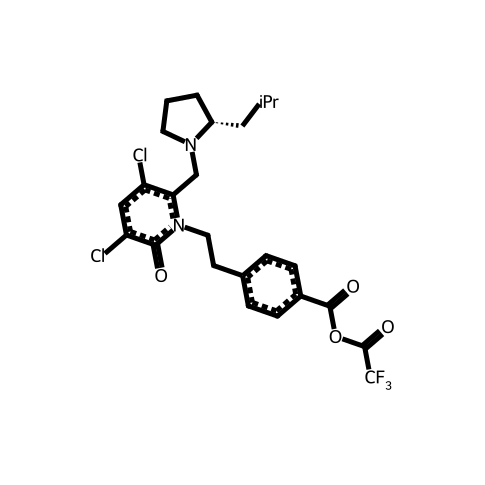 CC(C)C[C@H]1CCCN1Cc1c(Cl)cc(Cl)c(=O)n1CCc1ccc(C(=O)OC(=O)C(F)(F)F)cc1